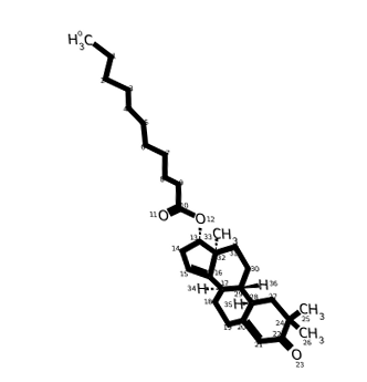 CCCCCCCCCCC(=O)O[C@H]1CC=C2[C@@H]3CCC4=CC(=O)C(C)(C)C[C@@H]4[C@H]3CC[C@@]21C